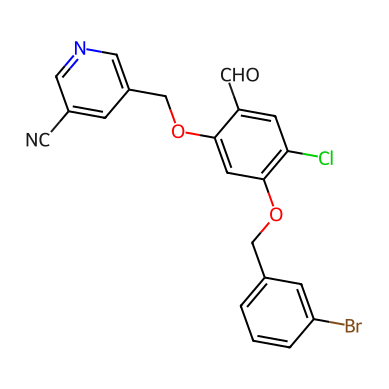 N#Cc1cncc(COc2cc(OCc3cccc(Br)c3)c(Cl)cc2C=O)c1